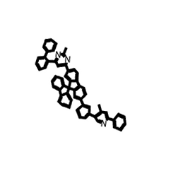 Cc1nc(-c2ccc3c(c2)C2(c4ccccc4-c4ccccc42)c2cc(-c4cccc(-c5cnc(-c6ccccc6)cc5C)c4)ccc2-3)cc(-c2ccccc2-c2ccccc2)n1